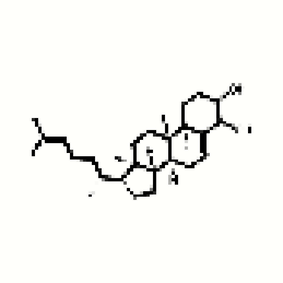 CC(C)=CCC[C@@H](C)[C@H]1CC[C@H]2[C@@H]3CC=C4[C@H](O)[C@H](O)CC[C@]4(C)[C@H]3CC[C@]12C